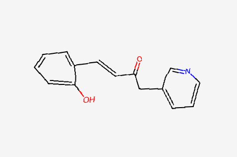 O=C(C=Cc1ccccc1O)Cc1cccnc1